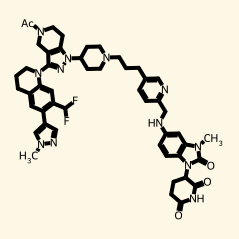 CC(=O)N1CCc2c(c(N3CCCc4cc(-c5cnn(C)c5)c(C(F)F)cc43)nn2C2CCN(CCCc3ccc(CNc4ccc5c(c4)n(C)c(=O)n5C4CCC(=O)NC4=O)nc3)CC2)C1